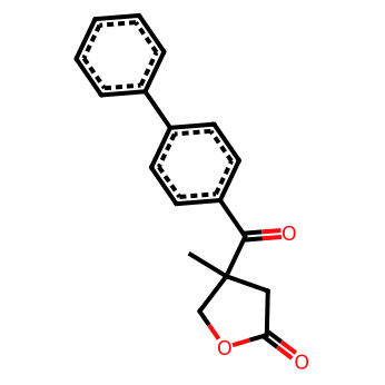 CC1(C(=O)c2ccc(-c3ccccc3)cc2)COC(=O)C1